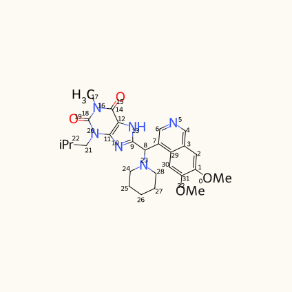 COc1cc2cncc(C(c3nc4c([nH]3)c(=O)n(C)c(=O)n4CC(C)C)N3CCCCC3)c2cc1OC